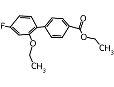 CCOC(=O)c1ccc(-c2ccc(F)cc2OCC)cc1